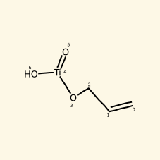 C=CC[O][Ti](=[O])[OH]